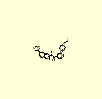 O=C(Nc1cc2cc(-c3cnco3)ccc2cn1)c1ccnc(N2CCN(CCF)CC2)c1